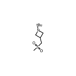 CC(C)(C)N1CC(CS(C)(=O)=O)C1